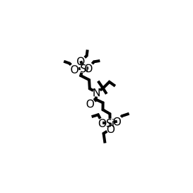 CCO[Si](CCCC(=O)N(CCC[Si](OCC)(OCC)OCC)C(C)(C)CC)(OCC)OCC